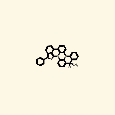 CC1(C)c2ccccc2N2c3cccc4c3B(c3cccc1c32)c1sc(-c2ccccc2)c2cccc-4c12